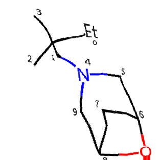 CCC(C)(C)N1CC2CC(C1)O2